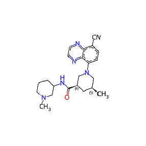 C[C@H]1C[C@@H](C(=O)NC2CCCN(C)C2)CN(c2ccc(C#N)c3nccnc23)C1